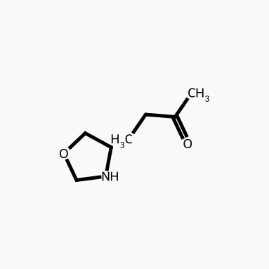 C1COCN1.CCC(C)=O